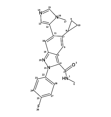 CNC(=O)c1c2cc(C3CC3)c(-c3cncn3C)cc2nn1-c1ccc(F)cc1